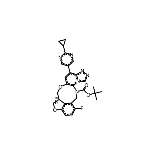 CC(C)(C)OC(=O)N1Cc2c(F)ccc3c2[C@H](CO3)COc2cc(-c3cnc(C4CC4)nc3)c3nncn3c21